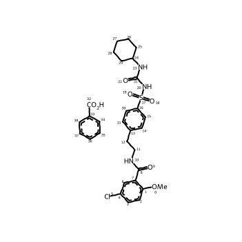 COc1ccc(Cl)cc1C(=O)NCCc1ccc(S(=O)(=O)NC(=O)NC2CCCCC2)cc1.O=C(O)c1ccccc1